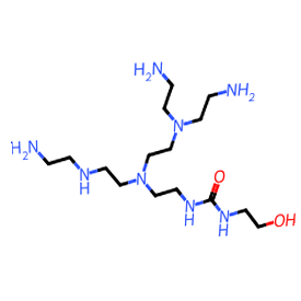 NCCNCCN(CCNC(=O)NCCO)CCN(CCN)CCN